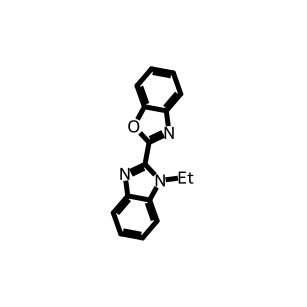 CCn1c(-c2nc3ccccc3o2)nc2ccccc21